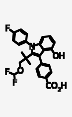 CC(C)(COC(F)F)c1c(-c2ccc(C(=O)O)cc2)c2c(O)cccc2n1-c1ccc(F)cc1